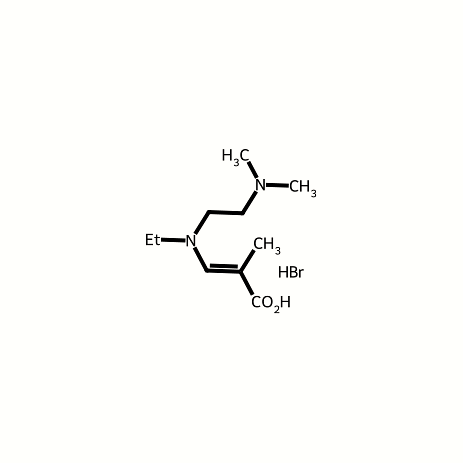 Br.CCN(C=C(C)C(=O)O)CCN(C)C